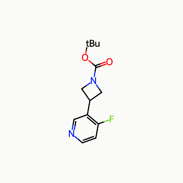 CC(C)(C)OC(=O)N1CC(c2cnccc2F)C1